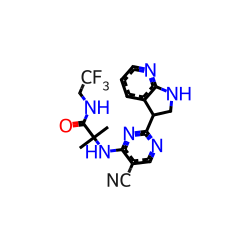 CC(C)(Nc1nc(C2CNc3ncccc32)ncc1C#N)C(=O)NCC(F)(F)F